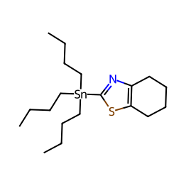 CCC[CH2][Sn]([CH2]CCC)([CH2]CCC)[c]1nc2c(s1)CCCC2